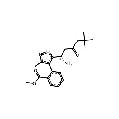 COC(=O)c1ccccc1-c1c(C)noc1[C@@H](N)CC(=O)OC(C)(C)C